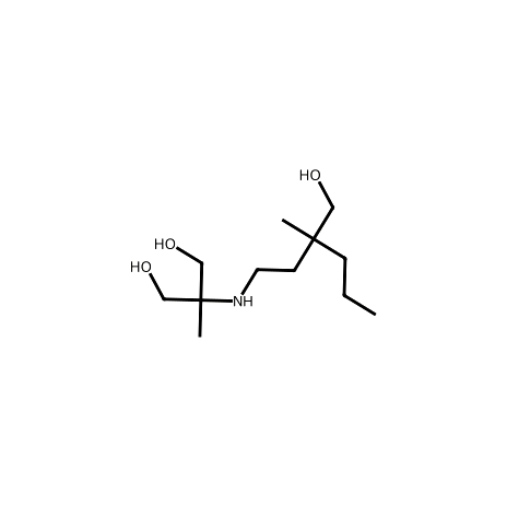 CCCC(C)(CO)CCNC(C)(CO)CO